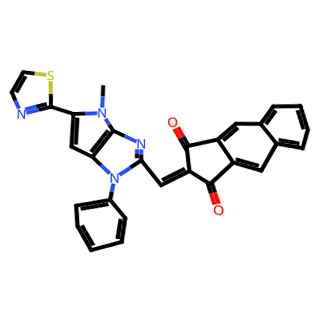 Cn1c(-c2nccs2)cc2c1nc(C=C1C(=O)c3cc4ccccc4cc3C1=O)n2-c1ccccc1